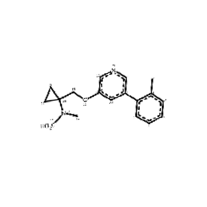 Cc1ccccc1-c1cncc(OCC2(N(C)C(=O)O)CC2)c1